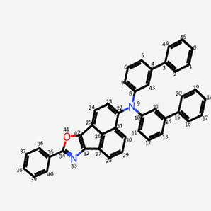 c1ccc(-c2cccc(N(c3cccc(-c4ccccc4)c3)c3ccc4c5c(cccc35)-c3nc(-c5ccccc5)oc3-4)c2)cc1